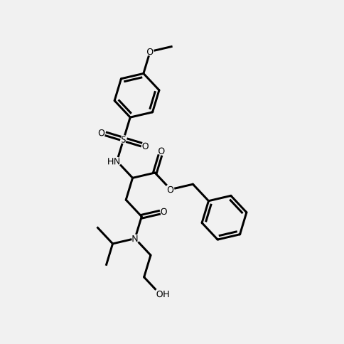 COc1ccc(S(=O)(=O)NC(CC(=O)N(CCO)C(C)C)C(=O)OCc2ccccc2)cc1